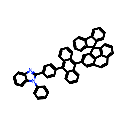 c1ccc(-n2c(-c3ccc(-c4c5ccccc5c(-c5cc6c7c(ccc8cccc(c87)C67c6ccccc6-c6ccccc67)c5)c5ccccc45)cc3)nc3ccccc32)cc1